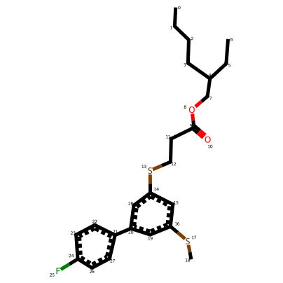 CCCCC(CC)COC(=O)CCSc1cc(SC)cc(-c2ccc(F)cc2)c1